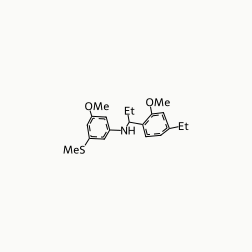 CCc1ccc(C(CC)Nc2cc(OC)cc(SC)c2)c(OC)c1